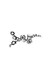 CN[C@@H](C)C(=O)N[C@H](C(=O)N1CCC[C@H]1CN(CCc1ccc(F)cc1)C(=O)c1cc(-c2ccccc2)on1)C(C)(C)C